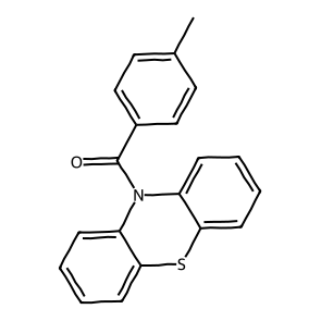 Cc1ccc(C(=O)N2c3ccccc3Sc3ccccc32)cc1